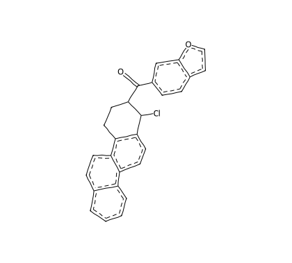 O=C(c1ccc2ccoc2c1)C1CCc2c(ccc3c2ccc2ccccc23)C1Cl